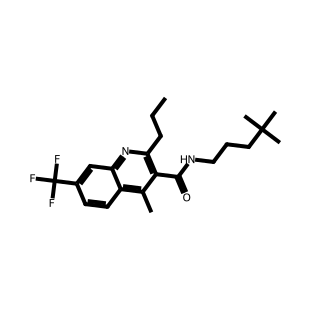 CCCc1nc2cc(C(F)(F)F)ccc2c(C)c1C(=O)NCCCC(C)(C)C